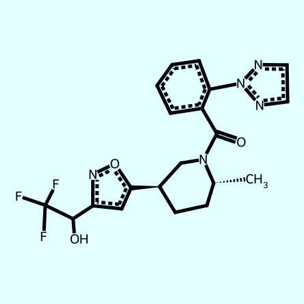 C[C@@H]1CC[C@@H](c2cc(C(O)C(F)(F)F)no2)CN1C(=O)c1ccccc1-n1nccn1